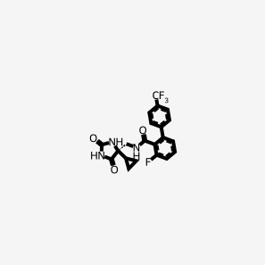 O=C1NC(=O)[C@](CNC(=O)c2c(F)cccc2-c2ccc(C(F)(F)F)cc2)(C2CC2)N1